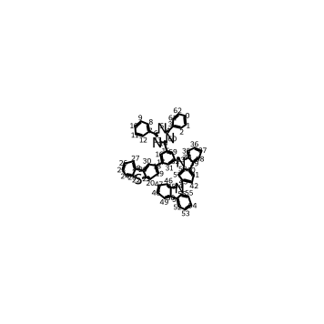 c1ccc(-c2nc(-c3ccccc3)nc(-c3cc(-c4ccc5sc6ccccc6c5c4)cc(-n4c5ccccc5c5ccc(-n6c7ccccc7c7ccccc76)cc54)c3)n2)cc1